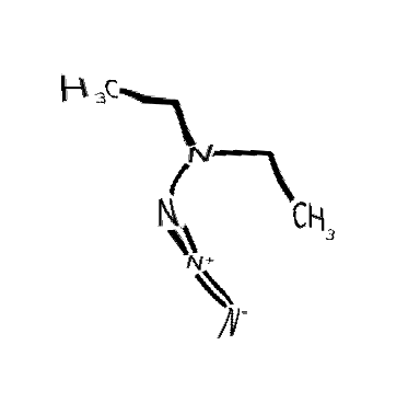 CCN(CC)N=[N+]=[N-]